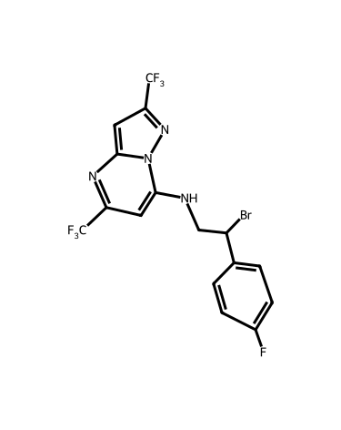 Fc1ccc(C(Br)CNc2cc(C(F)(F)F)nc3cc(C(F)(F)F)nn23)cc1